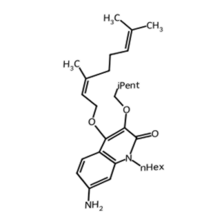 CCCCCCn1c(=O)c(OCC(C)CCC)c(OCC=C(C)CCC=C(C)C)c2ccc(N)cc21